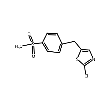 CS(=O)(=O)c1ccc(Cc2cnc(Cl)s2)cc1